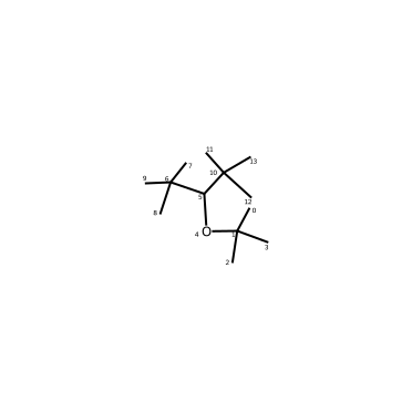 CC(C)(C)OC(C(C)(C)C)C(C)(C)C